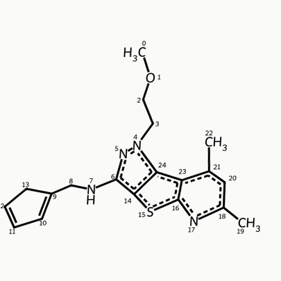 COCCn1nc(NCC2=CC=CC2)c2sc3nc(C)cc(C)c3c21